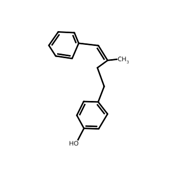 CC(=Cc1ccccc1)CCc1ccc(O)cc1